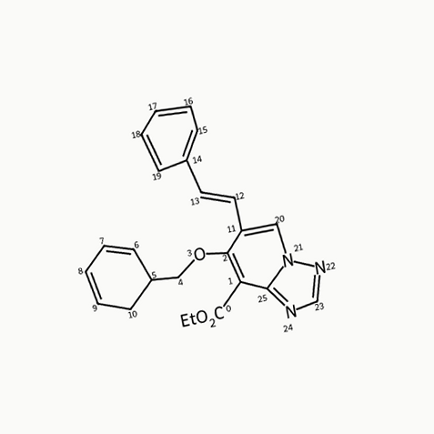 CCOC(=O)c1c(OCC2C=CC=CC2)c(/C=C/c2ccccc2)cn2ncnc12